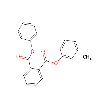 C.O=C(Oc1ccccc1)c1ccccc1C(=O)Oc1ccccc1